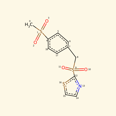 CS(=O)(=O)c1ccc(CS(=O)(=O)c2nccs2)cc1